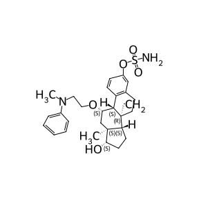 C=C[C@@]12CCc3cc(OS(N)(=O)=O)ccc3[C@H]1[C@@H](OCCN(C)c1ccccc1)C[C@@]1(C)[C@H]2CC[C@@H]1O